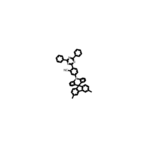 Cc1ccc2c(c1)-c1cc(C)ccc1C21c2ccccc2N(c2ccc(-c3nc(-c4ccccc4)nc(-c4ccccc4)n3)c(C#N)c2)c2ccccc21